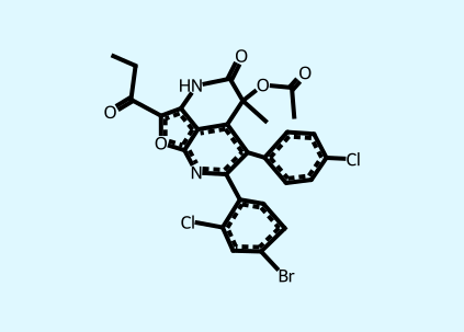 CCC(=O)c1oc2nc(-c3ccc(Br)cc3Cl)c(-c3ccc(Cl)cc3)c3c2c1NC(=O)C3(C)OC(C)=O